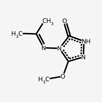 COc1n[nH]c(=O)n1N=C(C)C